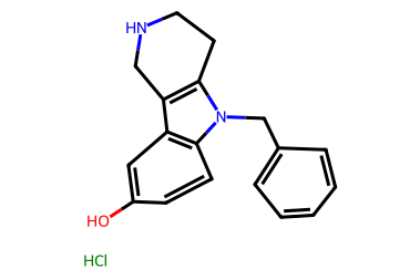 Cl.Oc1ccc2c(c1)c1c(n2Cc2ccccc2)CCNC1